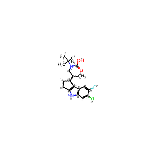 CC(CN(C(=O)O)C(C)(C)C)C1CCc2[nH]c3cc(Cl)c(F)cc3c21